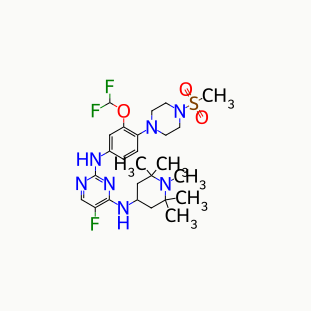 CN1C(C)(C)CC(Nc2nc(Nc3ccc(N4CCN(S(C)(=O)=O)CC4)c(OC(F)F)c3)ncc2F)CC1(C)C